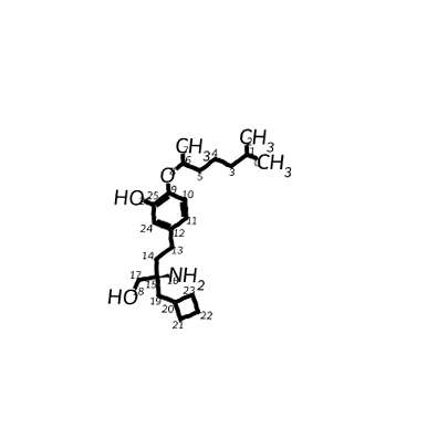 CC(C)CCCC(C)Oc1ccc(CC[C@@](N)(CO)CC2CCC2)cc1O